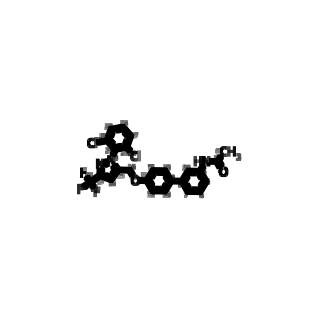 CC(=O)Nc1cccc(-c2ccc(OCc3cc(C(F)(F)F)nn3-c3c(Cl)cccc3Cl)cc2)c1